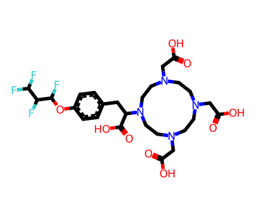 O=C(O)CN1CCN(CC(=O)O)CCN(C(Cc2ccc(OC(F)C(F)C(F)F)cc2)C(=O)O)CCN(CC(=O)O)CC1